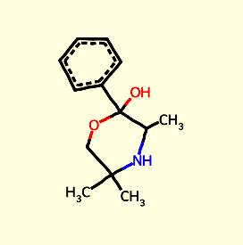 CC1NC(C)(C)COC1(O)c1ccccc1